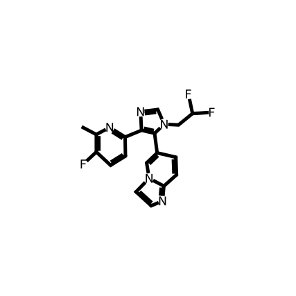 Cc1nc(-c2ncn(CC(F)F)c2-c2ccc3nccn3c2)ccc1F